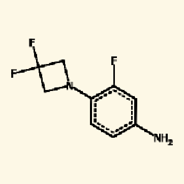 Nc1ccc(N2CC(F)(F)C2)c(F)c1